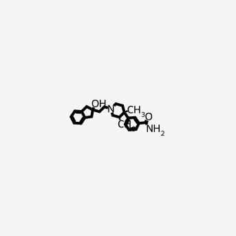 C[C@H]1CN(CCC2(O)Cc3ccccc3C2)CC[C@]1(C)c1cccc(C(N)=O)c1